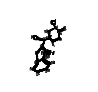 CN1CCN(C(=O)c2cc3ccccc3[nH]2)CC1Cl